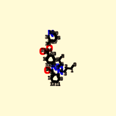 CCCCN(CCCC)c1ccccc1C(=O)Nc1ccc(C(=O)OCc2cccnc2)cc1